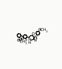 COc1ccc(-n2cnc3c2C(=O)CC(c2ccc(-c4ccccc4S(C)(=O)=O)cc2F)NC3)cc1